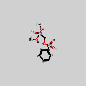 CCOP(=O)(COS(=O)(=O)c1ccccc1)OCC